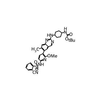 COc1nc(NS(=O)(=O)c2ccccc2C#N)ccc1-c1cc2cnc(NC3CCC(NC(=O)OC(C)(C)C)CC3)nc2cc1C